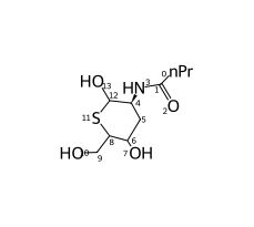 CCCC(=O)N[C@H]1CC(O)C(CO)SC1O